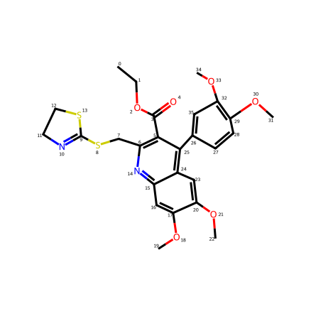 CCOC(=O)c1c(CSC2=NCCS2)nc2cc(OC)c(OC)cc2c1-c1ccc(OC)c(OC)c1